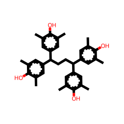 Cc1cc(C(CCC(c2cc(C)c(O)c(C)c2)c2cc(C)c(O)c(C)c2)c2cc(C)c(O)c(C)c2)cc(C)c1O